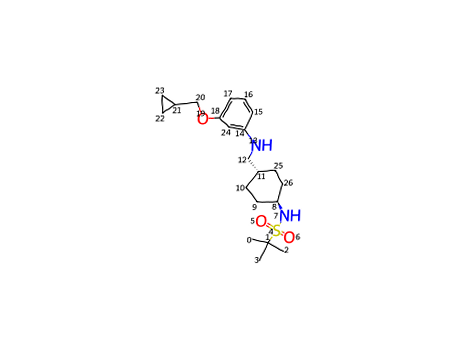 CC(C)(C)S(=O)(=O)N[C@H]1CC[C@H](CNc2cccc(OCC3CC3)c2)CC1